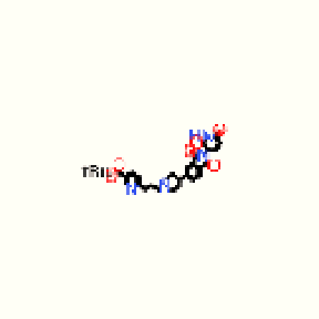 CC(C)(C)OC(=O)c1ccc(CCCN2CCC(c3ccc4c(c3)C(=O)N(C3CCC(=O)NC3=O)C4=O)CC2)nc1